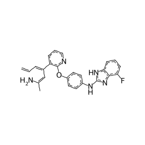 C=C/C=C(\C=C(\C)N)c1cccnc1Oc1ccc(Nc2nc3c(F)cccc3[nH]2)cc1